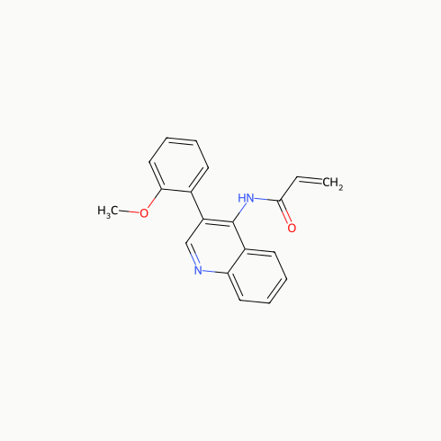 C=CC(=O)Nc1c(-c2ccccc2OC)cnc2ccccc12